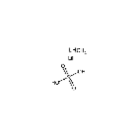 O.O=S(=O)(O)O.[LiH].[LiH]